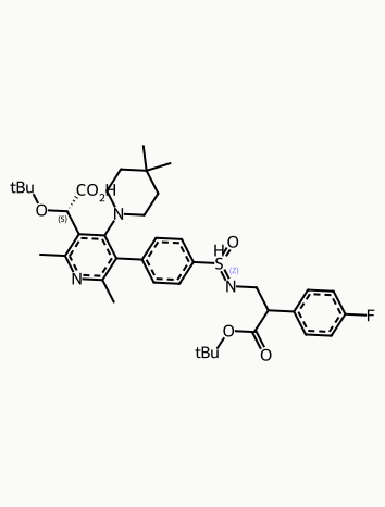 Cc1nc(C)c([C@H](OC(C)(C)C)C(=O)O)c(N2CCC(C)(C)CC2)c1-c1ccc(/[SH](=O)=N/CC(C(=O)OC(C)(C)C)c2ccc(F)cc2)cc1